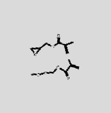 C=C(C)C(=O)OCC1CO1.C=C(C)C(=O)OCCCC